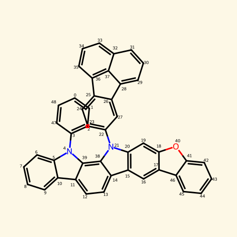 c1ccc(-n2c3ccccc3c3ccc4c5cc6c(cc5n(-c5ccc7c(c5)-c5cccc8cccc-7c58)c4c32)oc2ccccc26)cc1